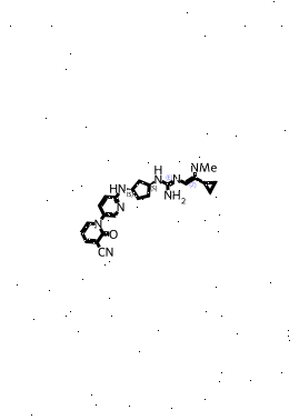 CN/C(=C\N=C(/N)N[C@H]1CC[C@H](Nc2ccc(-n3cccc(C#N)c3=O)cn2)C1)C1CC1